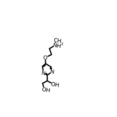 CNCCOc1cnc(C(O)CO)nc1